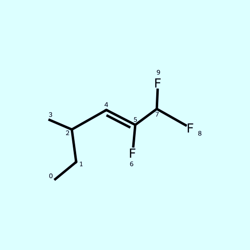 CCC(C)/C=C(\F)C(F)F